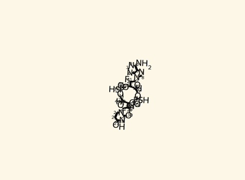 Nc1ncnc2c1ncn2[C@@H]1O[C@@H]2COP(=O)(S)O[C@@H]3C(F)[C@H](n4ccc(=O)[nH]c4=O)O[C@@H]3COP(=O)(S)OC2[C@@H]1F